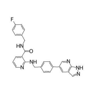 O=C(NCc1ccc(F)cc1)c1cccnc1NCc1ccc(-c2cnc3[nH]ncc3c2)cc1